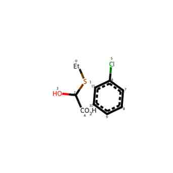 CCSC(O)C(=O)O.Clc1ccccc1